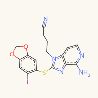 N#CCCCn1c(Sc2cc3c(cc2I)OCO3)nc2c(N)nccc21